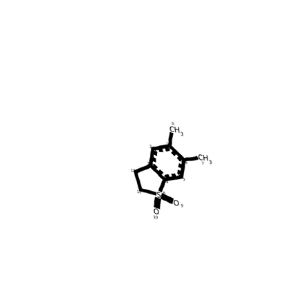 Cc1cc2c(cc1C)S(=O)(=O)CC2